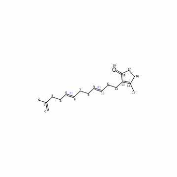 C=C(C)CC/C=C/CC/C=C/CCC1=C(C)CCC1=O